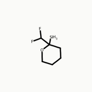 FC(F)C1([SiH3])CCCCO1